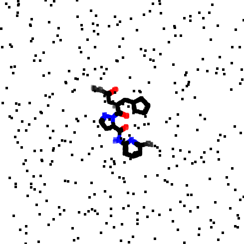 CCc1cccc(NC(=O)C2CC=NN2C(=O)[C@@H](CC(=O)OCC(C)C)CC2CCCC2)n1